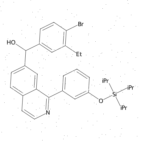 CCc1cc(C(O)c2ccc3ccnc(-c4cccc(O[Si](C(C)C)(C(C)C)C(C)C)c4)c3c2)ccc1Br